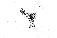 CCCCCS(=O)(=O)C(=[N+]=[N-])S(=O)(=O)c1ccc(OC(F)(F)F)cc1